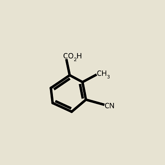 Cc1c(C#N)cccc1C(=O)O